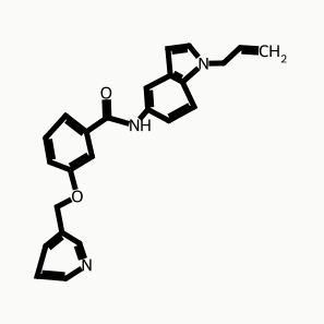 C=CCn1ccc2cc(NC(=O)c3cccc(OCc4cccnc4)c3)ccc21